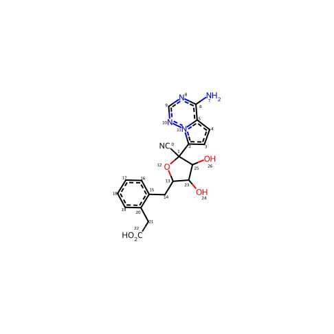 N#CC1(c2ccc3c(N)ncnn23)OC(Cc2ccccc2CC(=O)O)C(O)C1O